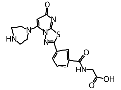 O=C(O)CNC(=O)c1cccc(-c2nn3c(N4CCNCC4)cc(=O)nc3s2)c1